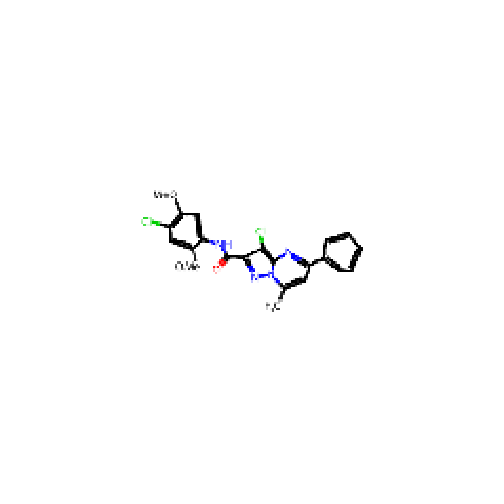 COc1cc(NC(=O)c2nn3c(C(F)(F)F)cc(-c4ccccc4)nc3c2Cl)c(OC)cc1Cl